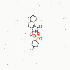 Cc1ccc(S(=O)(=O)ON2C(=O)C3=C(C2=O)c2ccccc2CC3)cc1